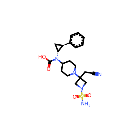 N#CCC1(N2CCC(N(C(=O)O)[C@@H]3C[C@H]3c3ccccc3)CC2)CN(S(N)(=O)=O)C1